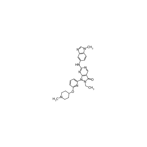 CCn1c(=O)c2cnc(Nc3ccc4c(c3)ncn4C)nc2n1-c1cccc(OC2CCN(C)CC2)n1